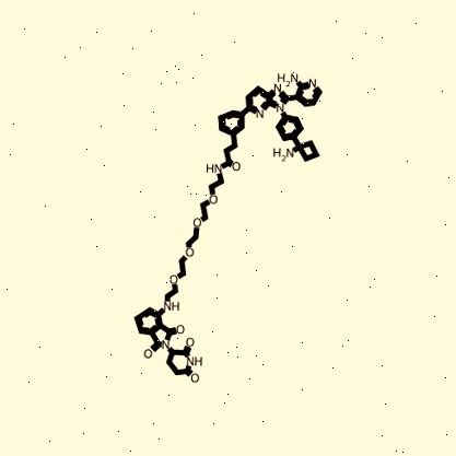 Nc1ncccc1-c1nc2ccc(-c3cccc(CCC(=O)NCCOCCOCCOCCOCCNc4cccc5c4C(=O)N(C4CCC(=O)NC4=O)C5=O)c3)nc2n1-c1ccc(C2(N)CCC2)cc1